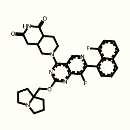 O=C1CC2CN(c3nc(OCC45CCCN4CCC5)nc4c(F)c(-c5cccc6cccc(F)c56)ncc34)CCC2C(=O)N1